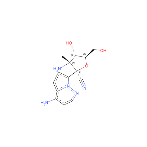 C[C@@]1(N)[C@H](O)[C@@H](CO)O[C@@]1(C#N)c1ccc2c(N)ccnn12